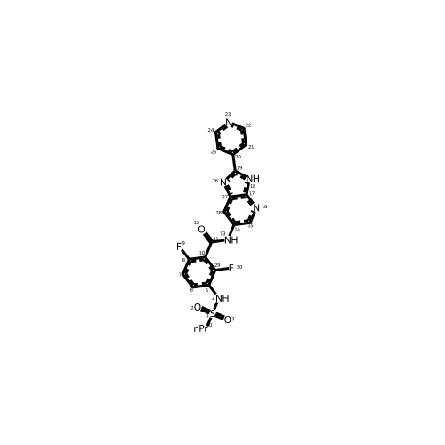 CCCS(=O)(=O)Nc1ccc(F)c(C(=O)Nc2cnc3[nH]c(-c4ccncc4)nc3c2)c1F